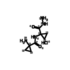 Cl.NNC(=O)C1(NC(=O)C2(N)CC2)CC1